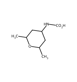 CC1CC(NC(=O)O)CC(C)O1